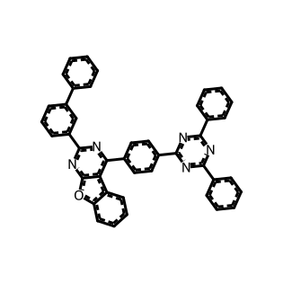 c1ccc(-c2cccc(-c3nc(-c4ccc(-c5nc(-c6ccccc6)nc(-c6ccccc6)n5)cc4)c4c(n3)oc3ccccc34)c2)cc1